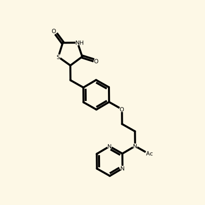 CC(=O)N(CCOc1ccc(CC2SC(=O)NC2=O)cc1)c1ncccn1